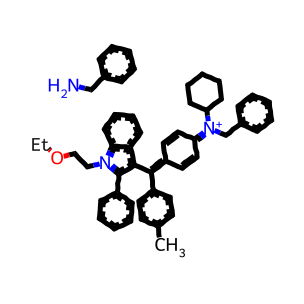 CCOCCn1c(-c2ccccc2)c(C(=C2C=CC(=[N+](Cc3ccccc3)C3CCCCC3)C=C2)c2ccc(C)cc2)c2ccccc21.NCc1ccccc1